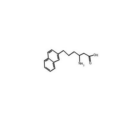 NC(CCCc1ccc2ccccc2c1)CC(=O)O